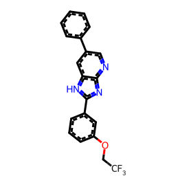 FC(F)(F)COc1cccc(-c2nc3ncc(-c4ccccc4)cc3[nH]2)c1